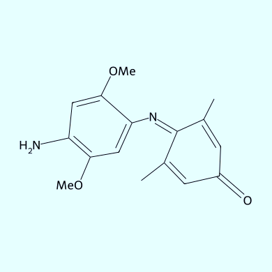 COc1cc(N=C2C(C)=CC(=O)C=C2C)c(OC)cc1N